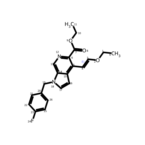 CCO/C=C/c1c(C(=O)OCC)ncc2c1ccn2Cc1ccc(F)cc1